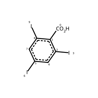 O=C(O)c1c(I)cc(I)cc1I